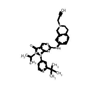 C#CCN1CCc2ccc(Nc3ncc4c(=O)n(C(C)C)n(-c5ccnc(C(C)(C)C)c5)c4n3)cc2C1